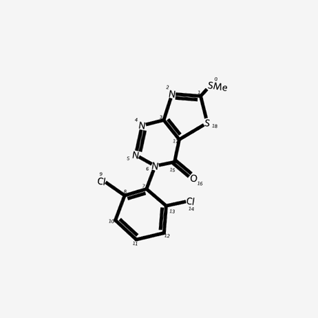 CSc1nc2nnn(-c3c(Cl)cccc3Cl)c(=O)c2s1